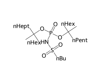 CCCCCCCC(C)(CCCCCC)OP(=O)(NS(=O)(=O)CCCC)OC(C)(CCCCC)CCCCCC